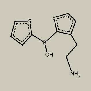 NCCc1ccsc1B(O)c1cccs1